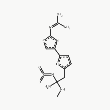 CNC(N)(Cc1ccc(-c2csc(N=C(N)N)n2)o1)N=S(=O)=O